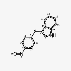 O=Nc1ccc(Cc2c[nH]c3ccccc23)cc1